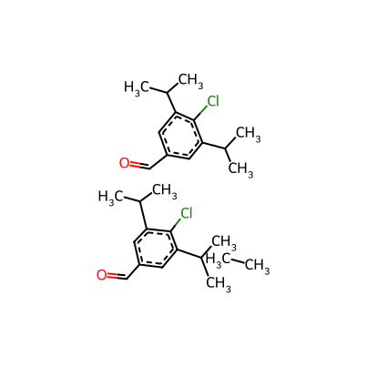 CC.CC(C)c1cc(C=O)cc(C(C)C)c1Cl.CC(C)c1cc(C=O)cc(C(C)C)c1Cl